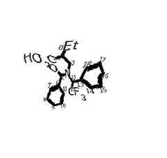 CCC(CN(C(=O)c1ccccc1)C(c1ccccc1)C(F)(F)F)C(=O)O